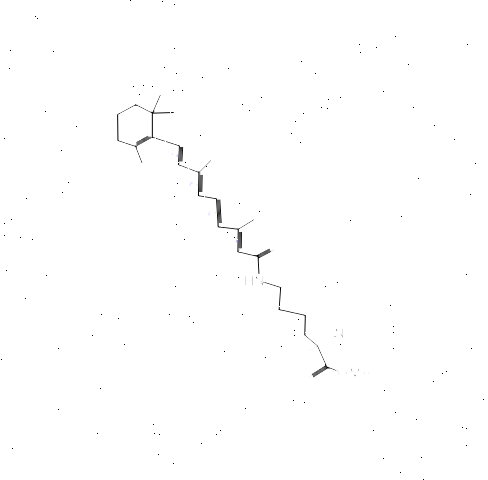 COC(=O)[C@@H](N)CCCCNC(=O)/C=C(C)/C=C/C=C(C)/C=C/C1=C(C)CCCC1(C)C